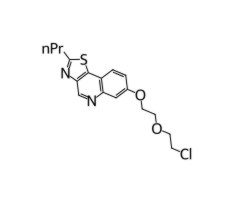 CCCc1nc2cnc3cc(OCCOCCCl)ccc3c2s1